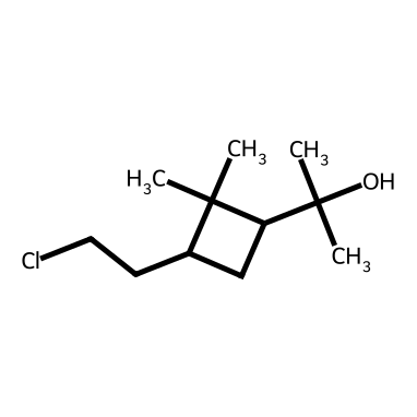 CC(C)(O)C1CC(CCCl)C1(C)C